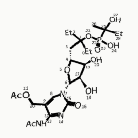 CCC(CC)(C[C@H]1O[C@@H](n2cc(COC(C)=O)c(NC(C)=O)nc2=O)[C@H](O)[C@@H]1O)OP(=O)(O)C(C)(O)CC